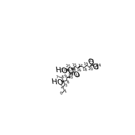 CCCCC(O)(CC)CC=C[C@H]1C(=O)[C@H](CC=CCCCC(=O)OC)C[C@H]1O